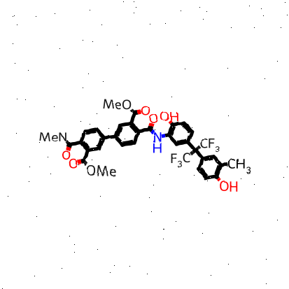 CNC(=O)c1ccc(-c2ccc(C(=O)Nc3cc(C(c4ccc(O)c(C)c4)(C(F)(F)F)C(F)(F)F)ccc3O)c(C(=O)OC)c2)cc1C(=O)OC